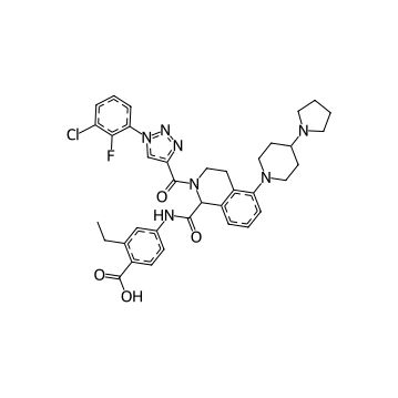 CCc1cc(NC(=O)C2c3cccc(N4CCC(N5CCCC5)CC4)c3CCN2C(=O)c2cn(-c3cccc(Cl)c3F)nn2)ccc1C(=O)O